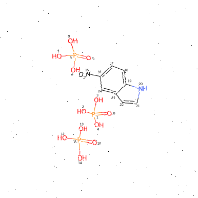 O=P(O)(O)O.O=P(O)(O)O.O=P(O)(O)O.O=[N+]([O-])c1ccc2[nH]ccc2c1